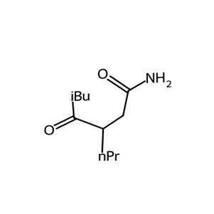 CCCC(CC(N)=O)C(=O)C(C)CC